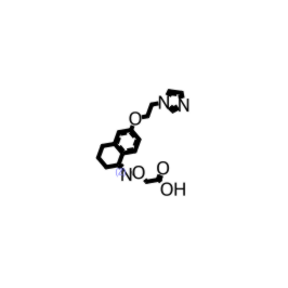 O=C(O)CO/N=C1/CCCc2cc(OCCn3ccnc3)ccc21